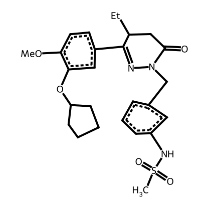 CCC1CC(=O)N(Cc2cccc(NS(C)(=O)=O)c2)N=C1c1ccc(OC)c(OC2CCCC2)c1